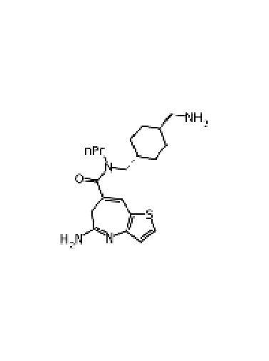 CCCN(C[C@H]1CC[C@H](CN)CC1)C(=O)C1=Cc2sccc2N=C(N)C1